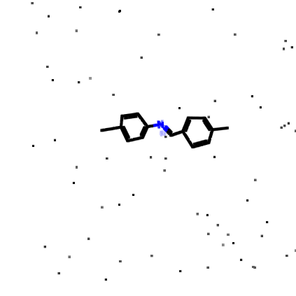 Cc1ccc(/C=N/c2ccc(C)cc2)cc1